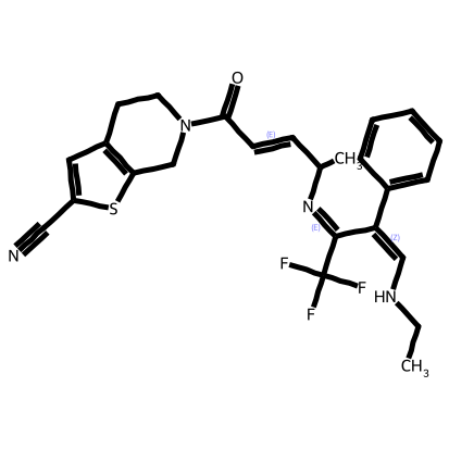 CCN/C=C(\C(=N/C(C)/C=C/C(=O)N1CCc2cc(C#N)sc2C1)C(F)(F)F)c1ccccc1